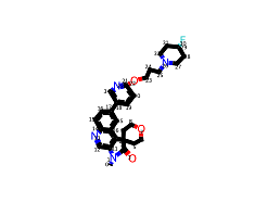 CN1C(=O)C2(CCOCC2)c2c1cnc1ccc(-c3ccc(OCCCN4CCC(F)CC4)nc3)cc21